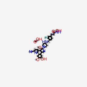 COc1ccc(-c2cnc(N3CCC(NCc4ccc(/C=C/C(=O)NO)cc4F)CC3)c(OC)c2-c2ccc(C#N)nc2)cc1O.O=CO